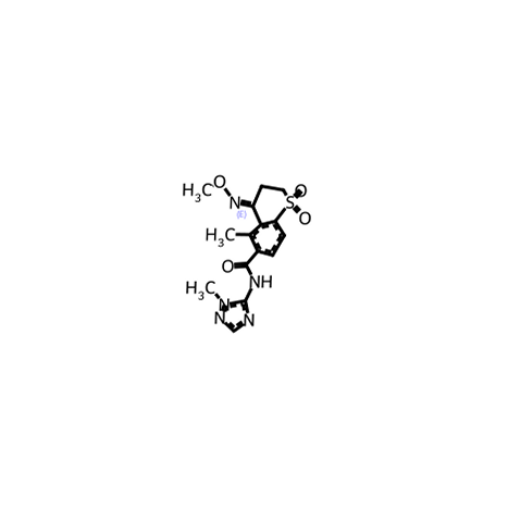 CO/N=C1\CCS(=O)(=O)c2ccc(C(=O)Nc3ncnn3C)c(C)c21